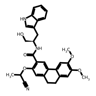 COc1cc2c(cc1OC)-c1cc(C(=O)N[C@@H](CO)Cc3c[nH]c4ccccc34)c(OC(C)C#N)cc1CC2